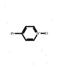 CC[n+]1ccc(C(C)C)cc1